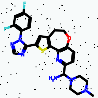 CN1CCN(C(N)c2ccc3c(n2)-c2sc(-c4ncnn4-c4ccc(F)cc4F)cc2CCO3)CC1